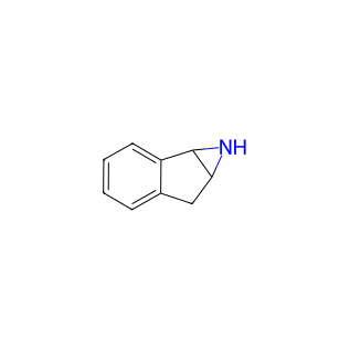 c1ccc2c(c1)CC1NC21